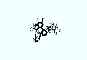 CC(C)(C)[Si](C)(C)Oc1ccccc1-c1cc(F)c(F)c2c1=C(N1CCn3ccnc3C1)C(=O)N=2